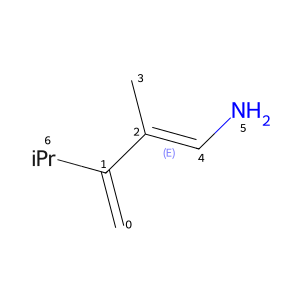 C=C(/C(C)=C/N)C(C)C